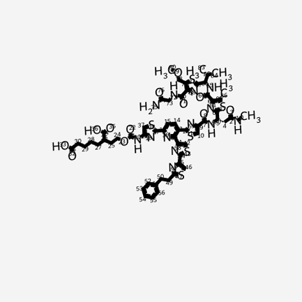 CNC(=O)C[C@H](NC(=O)c1csc(-c2ccc(-c3nc(NC(=O)OCCC(CCCCC(=O)O)C(=O)O)cs3)nc2-c2csc(-c3csc(CCc4ccccc4)n3)n2)n1)c1nc(C(=O)NC(c2nc(C(=O)NCC(N)=O)c(COC)s2)C(C)C)c(C)s1